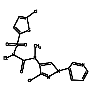 CCN(C(=O)N(C)c1cn(-c2cccnc2)nc1Cl)S(=O)(=O)c1ccc(Cl)s1